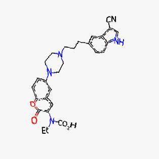 CCN(C(=O)O)c1cc2cc(N3CCN(CCCc4ccc5[nH]cc(C#N)c5c4)CC3)ccc2oc1=O